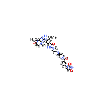 COc1cc(C(=O)NN2CCC(N3CC4(CCN(C(=O)c5cccc(N6CCC(=O)NC6O)c5)CC4)C3)CC2)ccc1Nc1ncc2c(n1)N(C(C)C)CC(F)(F)C(=O)N2C